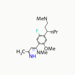 CCCC(CCNC)c1cc(OC)c(/C(=C/C(C)=N)NC)cc1F